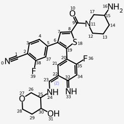 N#Cc1ccc(-c2cc(C(=O)N3CCCC(N)C3)sc2C2=C/C(=C/NC3COCCC3O)C(=N)C=C2F)cc1F